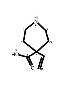 C=CC1(C(=O)O)CCNCC1